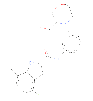 Cc1ccc(F)c2c1NC(C(=O)Nc1cccc(N3CCOCC3CO)c1)C2